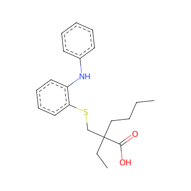 CCCCC(CC)(CSc1ccccc1Nc1ccccc1)C(=O)O